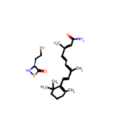 CC(C=CC1=C(C)CCCC1(C)C)=CC=CC(C)=CC(N)=O.O=C1SN[C@H]1CCS